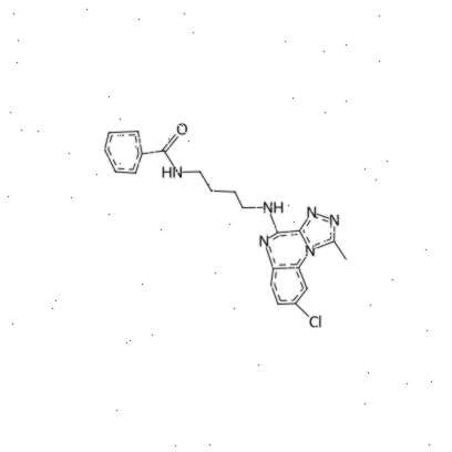 Cc1nnc2c(NCCCCNC(=O)c3ccccc3)nc3ccc(Cl)cc3n12